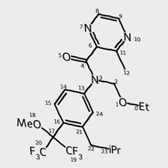 CCOCN(C(=O)c1nccnc1C)c1ccc(C(OC)(C(F)(F)F)C(F)(F)F)c(CC(C)C)c1